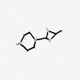 CC1OC(N2CCNCC2)O1